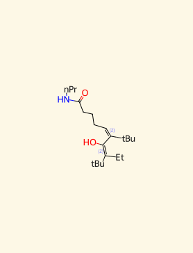 CCCNC(=O)CCC/C=C(\C(O)=C(/CC)C(C)(C)C)C(C)(C)C